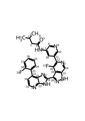 CC(C)CC(=O)Nc1cncc(-c2ncc3[nH]nc(-c4nc5c(-c6ccccc6F)ccnc5[nH]4)c3c2F)c1